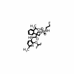 Cc1ccc(NC(=O)C2(c3ccccc3C(C)C)CN(S(=O)(=O)NCCF)C2)c(OC(F)F)n1